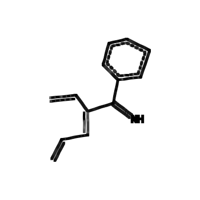 C=C/C=C(\C=C)C(=N)c1ccccc1